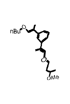 CCCCOC=C(C)c1cccc(C(C)=COCCC(C)OC)c1